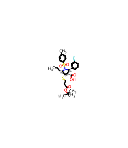 CCC[C@@H]1[C@@H](SCCC(=O)OC(C)(C)C)[C@@H](C(=O)O)[C@H](c2cccc(F)c2)N1S(=O)(=O)c1ccc(C)cc1